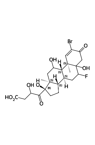 C[C@]12CC(O)[C@H]3[C@@H](CC(F)C4(O)CC(=O)C(Br)=C[C@]34C)[C@@H]1CC[C@]2(O)C(=O)C(O)CC(=O)O